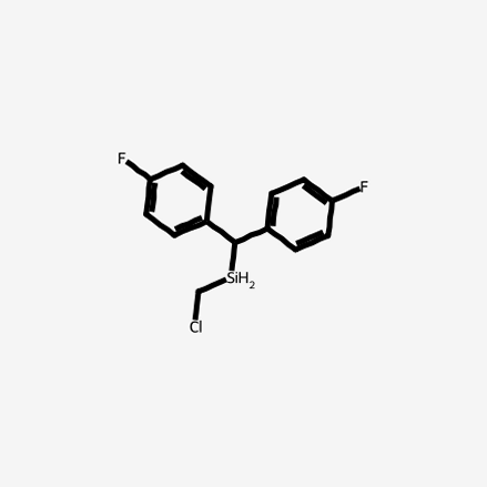 Fc1ccc(C([SiH2]CCl)c2ccc(F)cc2)cc1